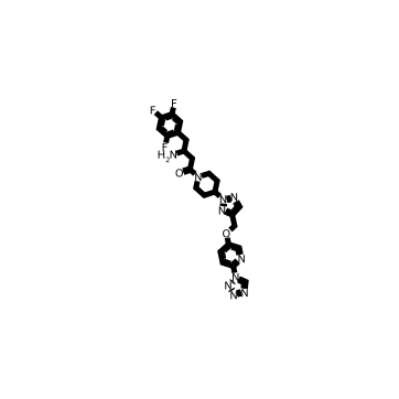 NC(CC(=O)N1CCC(n2ncc(COc3ccc(-n4cnnn4)nc3)n2)CC1)Cc1cc(F)c(F)cc1F